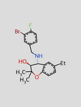 CCc1ccc2c(c1)[C@@H](NCc1ccc(F)c(Br)c1)[C@H](O)C(C)(C)O2